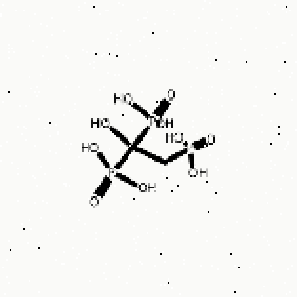 O=P(O)(O)CC(O)(P(=O)(O)O)P(=O)(O)O